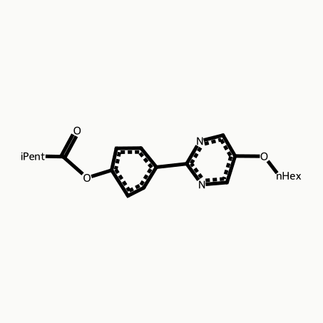 CCCCCCOc1cnc(-c2ccc(OC(=O)C(C)CCC)cc2)nc1